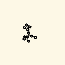 c1ccc(-c2ccc(N(c3ccc(-c4ccc([Si](c5ccccc5)(c5ccccc5)c5ccccc5)cc4)cc3)c3cc4ccc5cccc6c5c4c(c3)n6-c3ccccc3)cc2)cc1